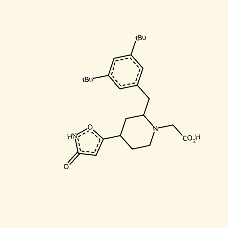 CC(C)(C)c1cc(CC2CC(c3cc(=O)[nH]o3)CCN2CC(=O)O)cc(C(C)(C)C)c1